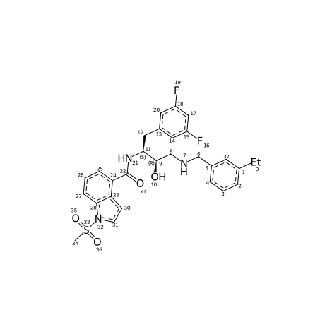 CCc1cccc(CNC[C@@H](O)[C@H](Cc2cc(F)cc(F)c2)NC(=O)c2cccc3c2ccn3S(C)(=O)=O)c1